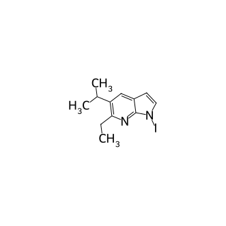 CCc1nc2c(ccn2I)cc1C(C)C